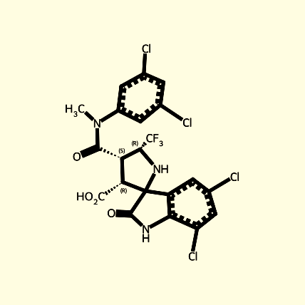 CN(C(=O)[C@@H]1[C@H](C(F)(F)F)NC2(C(=O)Nc3c(Cl)cc(Cl)cc32)[C@@H]1C(=O)O)c1cc(Cl)cc(Cl)c1